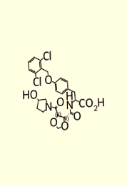 O=C(O)C(Cc1ccc(OCc2c(Cl)cccc2Cl)cc1)NC(=O)[C@@H]1OCO[C@H]1C(=O)N1CCC(O)C1